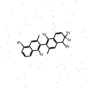 [2H]c1c2c(cc(C)c1-c1c(C)cc3c(C(C)C)cccc3c1[2H])C(C(C)C)C([2H])([2H])C=C2